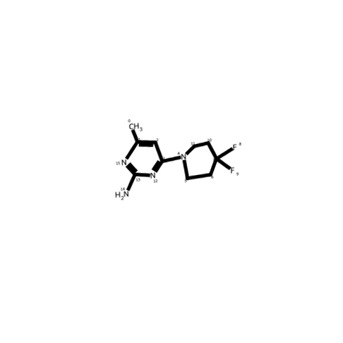 Cc1cc(N2CCC(F)(F)CC2)nc(N)n1